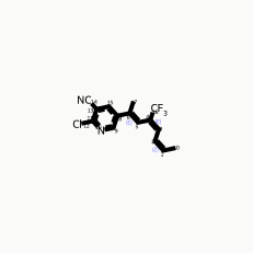 C\C=C/C=C(\C=C(/C)c1cnc(Cl)c(C#N)c1)C(F)(F)F